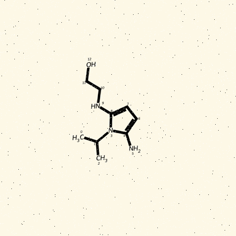 CC(C)n1c(N)ccc1NCCO